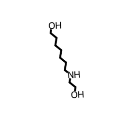 OCCCCCCCNCCO